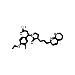 CCOc1ccc(C(CC(=O)O)N2CCC(CCCC3C=CC4=CCCNC4=N3)C2=O)cc1F